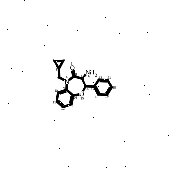 NC1C(=O)N(CC2CC2)c2ccccc2OC1c1ccccc1